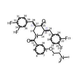 CN(C)CCOc1cccc(C(=O)N2C/C(=C\c3ccc(F)c(F)c3)C(=O)/C(=C/c3ccc(F)c(F)c3)C2)c1